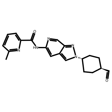 Cc1cccc(C(=O)Nc2cc3cn([C@H]4CC[C@H](C=O)CC4)nc3cn2)n1